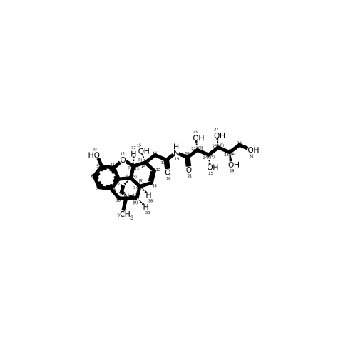 CN1CC[C@]23c4c5ccc(O)c4O[C@H]2[C@@](O)(CC(=O)NC(=O)[C@H](O)[C@@H](O)[C@H](O)[C@H](O)CO)C=C[C@H]3[C@H]1C5